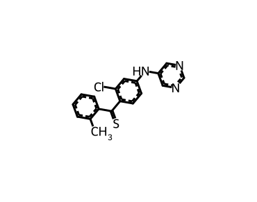 Cc1ccccc1C(=S)c1ccc(Nc2cncnc2)cc1Cl